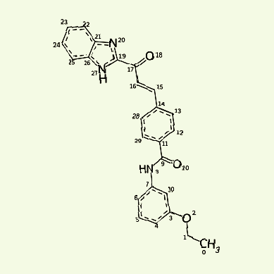 CCOc1cccc(NC(=O)c2ccc(C=CC(=O)c3nc4ccccc4[nH]3)cc2)c1